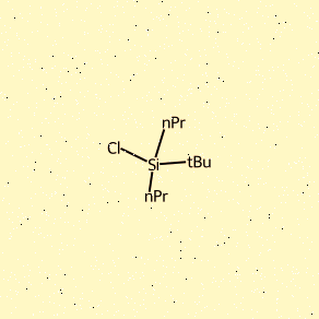 CCC[Si](Cl)(CCC)C(C)(C)C